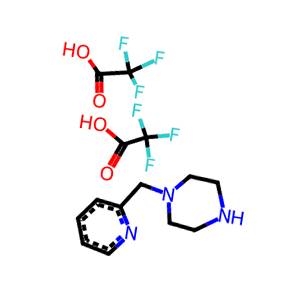 O=C(O)C(F)(F)F.O=C(O)C(F)(F)F.c1ccc(CN2CCNCC2)nc1